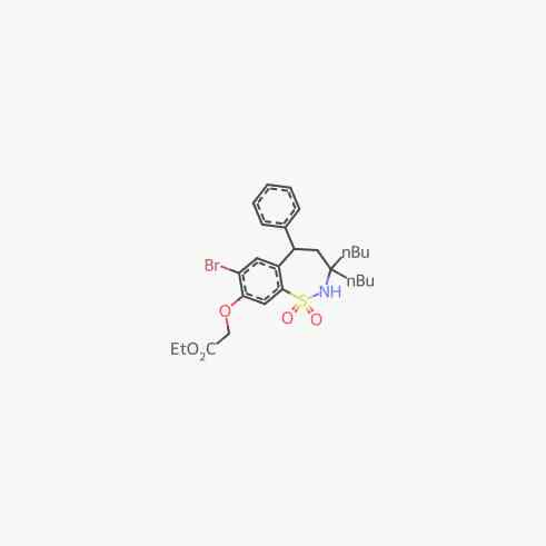 CCCCC1(CCCC)CC(c2ccccc2)c2cc(Br)c(OCC(=O)OCC)cc2S(=O)(=O)N1